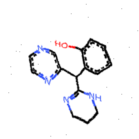 Oc1ccccc1C(C1=NCCCN1)c1cnccn1